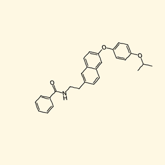 CC(C)Oc1ccc(Oc2ccc3cc(CCNC(=O)c4ccccc4)ccc3c2)cc1